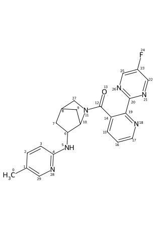 Cc1ccc(NC2CC3CC2N(C(=O)c2cccnc2-c2ncc(F)cn2)C3)nc1